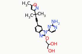 Cc1cc(C(C)(C)C#Cc2ccc3nc(OCC(O)CO)n(-c4ccnc(N)n4)c3c2)no1